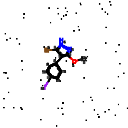 CCOc1n[nH]c(Br)c1-c1ccc(I)cc1